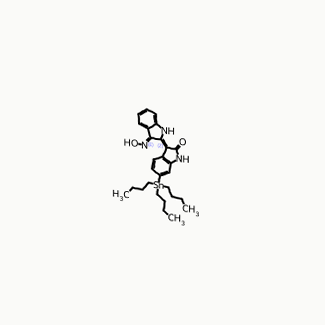 CCC[CH2][Sn]([CH2]CCC)([CH2]CCC)[c]1ccc2c(c1)NC(=O)/C2=C1\Nc2ccccc2\C1=N/O